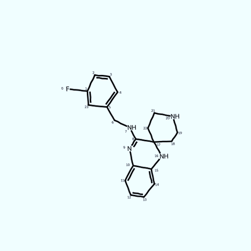 Fc1cccc(CNC2=Nc3ccccc3NC23CCNCC3)c1